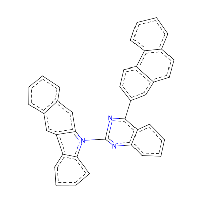 c1ccc2cc3c(cc2c1)c1ccccc1n3-c1nc(-c2ccc3c(ccc4ccccc43)c2)c2ccccc2n1